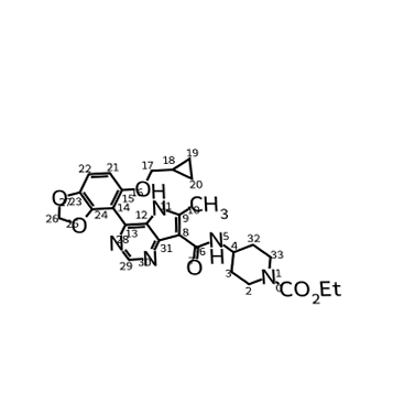 CCOC(=O)N1CCC(NC(=O)c2c(C)[nH]c3c(-c4c(OCC5CC5)ccc5c4OCO5)ncnc23)CC1